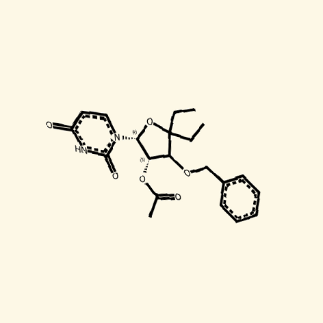 CCC1(CC)O[C@@H](n2ccc(=O)[nH]c2=O)[C@@H](OC(C)=O)C1OCc1ccccc1